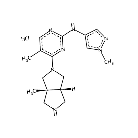 Cc1cnc(Nc2cnn(C)c2)nc1N1C[C@@H]2CNC[C@]2(C)C1.Cl